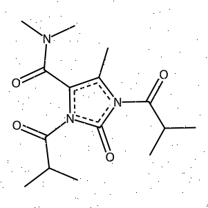 Cc1c(C(=O)N(C)C)n(C(=O)C(C)C)c(=O)n1C(=O)C(C)C